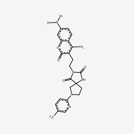 CCN(CC)c1ccc2c(C)c(CCN3C(=O)NC4(CCN(c5ccc(C(F)(F)F)cn5)C4)C3=O)c(=O)oc2c1